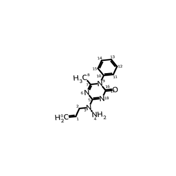 C=CCN(N)c1nc(C)n(-c2ccccc2)c(=O)n1